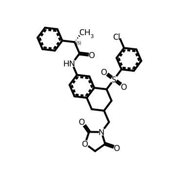 C[C@H](C(=O)Nc1ccc2c(c1)C(S(=O)(=O)c1cccc(Cl)c1)CC(CN1C(=O)COC1=O)C2)c1ccccc1